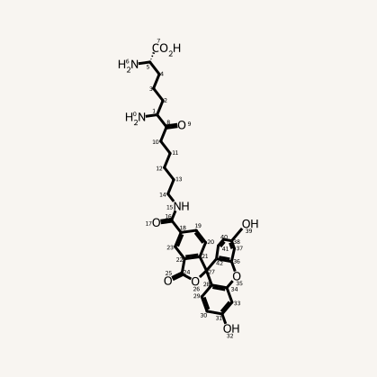 NC(CCC[C@H](N)C(=O)O)C(=O)CCCCCNC(=O)c1ccc2c(c1)C(=O)OC21c2ccc(O)cc2Oc2cc(O)ccc21